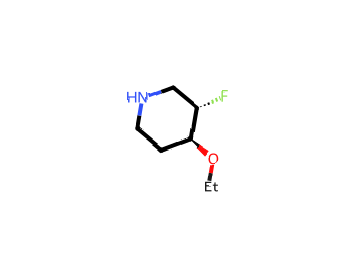 CCO[C@H]1CCNC[C@@H]1F